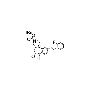 CC(C)(C)OC(=O)N1CCN2c3cc(/C=C/c4ccccc4F)ccc3NC(=O)CC2C1